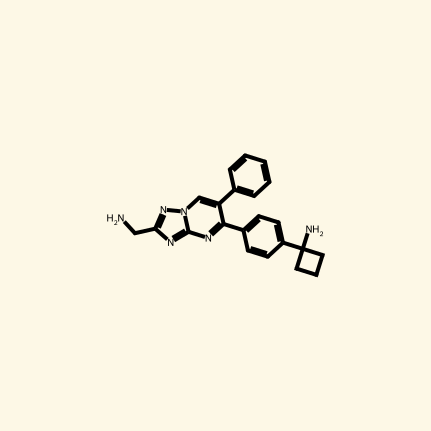 NCc1nc2nc(-c3ccc(C4(N)CCC4)cc3)c(-c3ccccc3)cn2n1